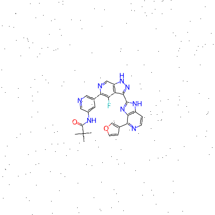 CC(C)(C)C(=O)Nc1cncc(-c2ncc3[nH]nc(-c4nc5c(-c6ccoc6)nccc5[nH]4)c3c2F)c1